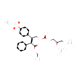 CCOC(=O)/C(=C(\COC(=O)OCC(CO[N+](=O)[O-])O[N+](=O)[O-])c1ccc(S(C)(=O)=O)cc1)c1ccccc1